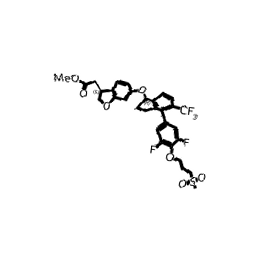 COC(=O)C[C@@H]1COc2cc(O[C@@H]3CCc4c3ccc(C(F)(F)F)c4-c3cc(F)c(OCCCS(C)(=O)=O)c(F)c3)ccc21